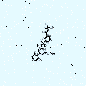 COc1cc(-c2c(C)cccc2C)nc(NS(=O)(=O)c2cccc(C(=O)NC(C)(C)C#N)c2)n1